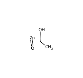 CCO.[O]=[Zn]